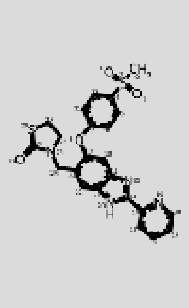 CS(=O)(=O)c1ccc(Oc2cc3nc(-c4ccccn4)[nH]c3cc2CN2CCSC2=O)cc1